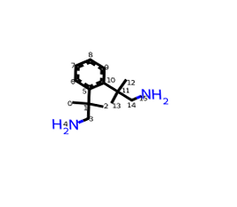 CC(C)(CN)c1ccccc1C(C)(C)CN